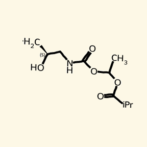 [CH2][C@H](O)CNC(=O)OC(C)OC(=O)C(C)C